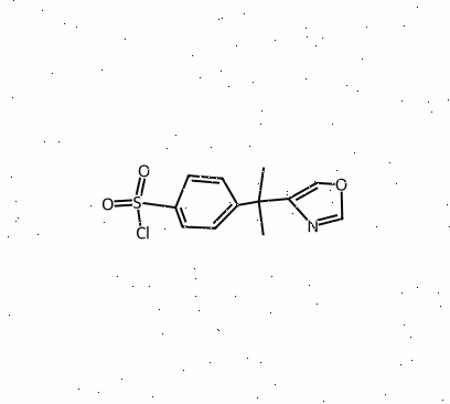 CC(C)(c1ccc(S(=O)(=O)Cl)cc1)c1cocn1